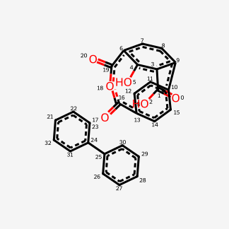 O=C(O)c1c(O)c2ccc1c1ccc(cc1)c(=O)oc2=O.c1ccc(-c2ccccc2)cc1